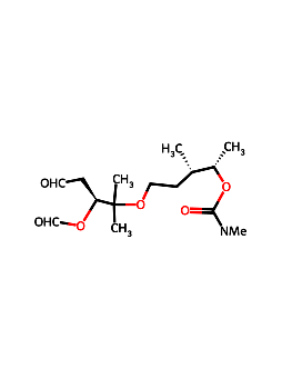 CNC(=O)O[C@@H](C)[C@@H](C)CCOC(C)(C)[C@H](CC=O)OC=O